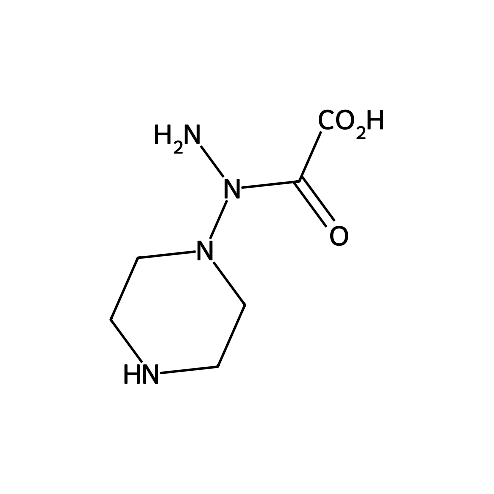 NN(C(=O)C(=O)O)N1CCNCC1